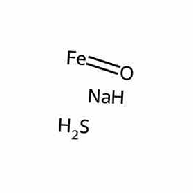 S.[NaH].[O]=[Fe]